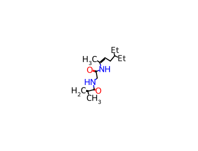 C=C(C)C(=O)NCC(=O)N/C(C)=C\CC(CC)CC